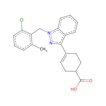 Cc1cccc(Cl)c1Cn1nc(C2=CCC(C(=O)O)CC2)c2ccccc21